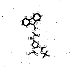 CC(C)(C)OC(=O)N1C[C@H](NC(=O)OCC2c3ccccc3-c3ccccc32)C[C@H]1C(N)=O